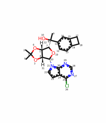 CC1(C)O[C@@H]2[C@H](O1)[C@H](C(C)(O)c1ccc3c(c1)CC3)O[C@@H]2n1ccc2c(Cl)ncnc21